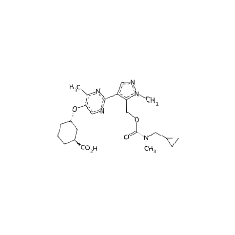 Cc1nc(-c2cnn(C)c2COC(=O)N(C)CC2CC2)ncc1O[C@H]1CCC[C@H](C(=O)O)C1